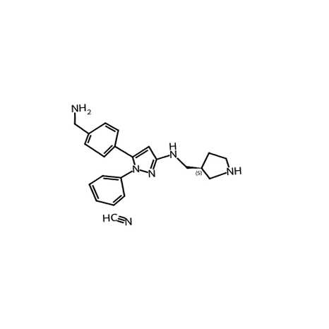 C#N.NCc1ccc(-c2cc(NC[C@H]3CCNC3)nn2-c2ccccc2)cc1